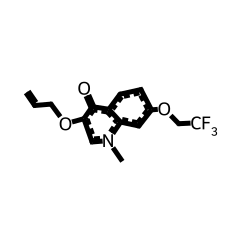 C=CCOc1cn(C)c2cc(OCC(F)(F)F)ccc2c1=O